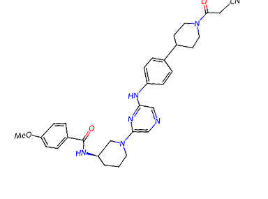 COc1ccc(C(=O)N[C@@H]2CCCN(c3cncc(Nc4ccc(C5CCN(C(=O)CC#N)CC5)cc4)n3)C2)cc1